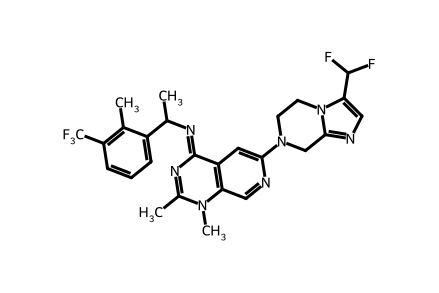 Cc1c(C(C)/N=c2\nc(C)n(C)c3cnc(N4CCn5c(C(F)F)cnc5C4)cc23)cccc1C(F)(F)F